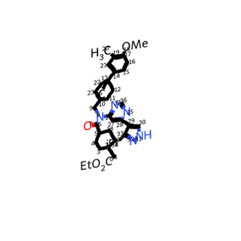 CCOC(=O)CC1CCC(C(=O)N(CC23CCC(c4ccc(OC)c(C)c4)(CC2)CC3)c2cc(-c3c[nH]nc3C(C)C)ncn2)CC1